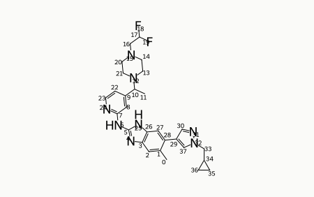 Cc1cc2nc(Nc3cc(C(C)N4CCN(CC(F)F)CC4)ccn3)[nH]c2cc1-c1cnn(CC2CC2)c1